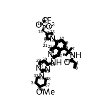 C=CC(=O)NC(C)(C)c1ccc(N2C[C@H](CS(=O)(=O)C(F)(F)F)[C@H]2C)c2cnc(Nc3ccnc(N4CCC(OC)CC4)n3)cc12